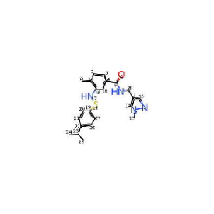 Cc1ccc(C(=O)NCc2cnn(C)c2)cc1NSc1ccc(C(C)C)cc1